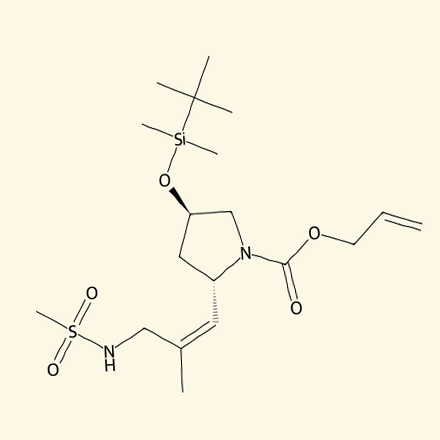 C=CCOC(=O)N1C[C@H](O[Si](C)(C)C(C)(C)C)C[C@H]1C=C(C)CNS(C)(=O)=O